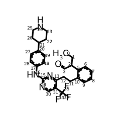 CCC(C=O)c1ccccc1CCc1nc(Nc2ccc(C3CCNCC3)cc2)ncc1C(F)(F)F